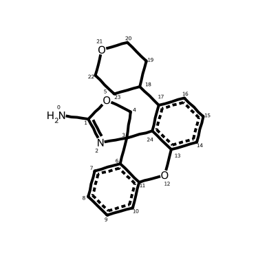 NC1=NC2(CO1)c1ccccc1Oc1cccc(C3CCOCC3)c12